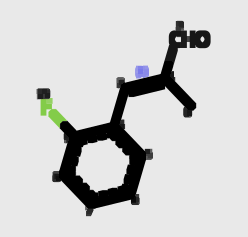 C/C(C=O)=C\c1ccccc1F